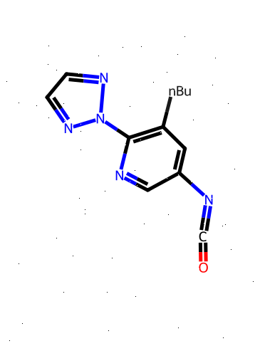 CCCCc1cc(N=C=O)cnc1-n1nccn1